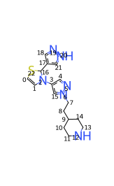 C1=CN(c2cnn(CCC3CCNCC3)c2)C(c2cn[nH]c2)S1